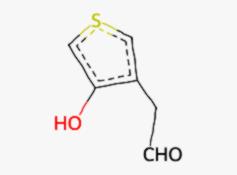 O=CCc1cscc1O